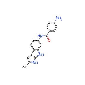 CC(=O)c1cc2c([nH]1)[nH]c1cc(NC(=O)c3ccc(N)cc3)ccc12